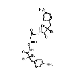 CCC(CC)(Cc1ccc(N)cc1)C(=O)NOC(=O)CC(=O)ONC(=O)C(CC)(CC)Cc1ccc(N)cc1